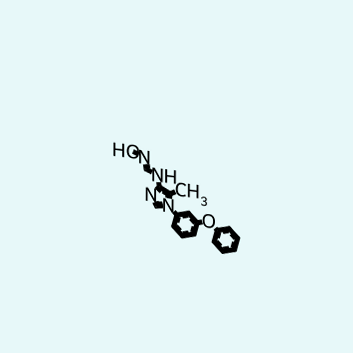 Cc1c(NC=NO)ncn1-c1cccc(Oc2ccccc2)c1